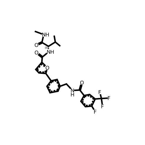 CNC(=O)[C@@H](NC(=O)c1ccc(-c2cccc(CNC(=O)c3ccc(F)c(C(F)(F)F)c3)c2)o1)C(C)C